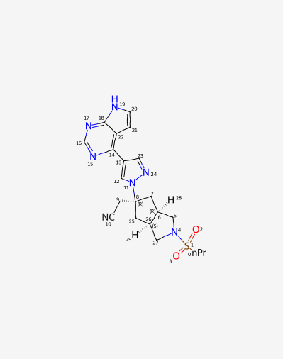 CCCS(=O)(=O)N1C[C@@H]2C[C@](CC#N)(n3cc(-c4ncnc5[nH]ccc45)cn3)C[C@@H]2C1